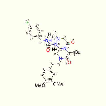 CCCC[C@H]1C(=O)N(CCc2ccc(OC)c(OC)c2)C[C@H]2N1C(=O)CN(C)N2C(=O)NCc1ccc(F)cc1